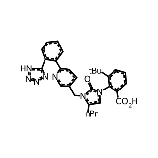 CCCc1cn(-c2c(C(=O)O)cccc2C(C)(C)C)c(=O)n1Cc1ccc(-c2ccccc2-c2nnn[nH]2)nc1